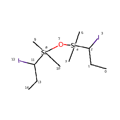 CCC(I)[Si](C)(C)O[Si](C)(C)C(I)CC